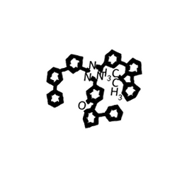 CC1(C)c2ccccc2-c2cccc(-c3cccc(-c4nc(-c5cccc(-c6cccc(-c7ccccc7)c6)c5)nc(-c5ccc6c(c5)oc5cccc(-c7ccccc7)c56)n4)c3)c21